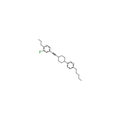 CCCCCc1ccc(C2CCC(C#Cc3ccc(CCC)c(F)c3)CC2)cc1